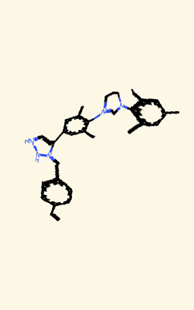 C=Cc1ccc(CN2NNC=C2c2cc(C)c(N3CCN(c4c(C)cc(C)cc4C)C3)c(C)c2)cc1